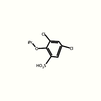 CC(C)Oc1c(Cl)cc(Cl)cc1S(=O)(=O)O